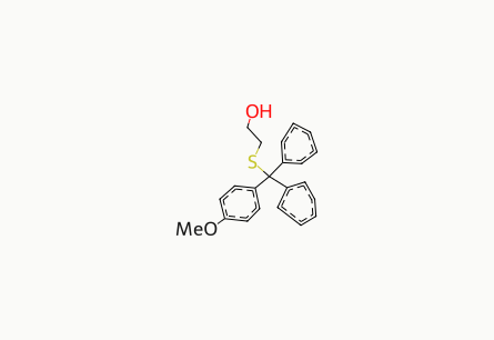 COc1ccc(C(SCCO)(c2ccccc2)c2ccccc2)cc1